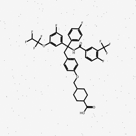 O=C(NC(Cc1ccc(OCC2CCC(C(=O)O)CC2)cc1)(c1ccc(F)cc1)c1cc(F)cc(OC(F)(F)C(F)F)c1)c1ccc(F)c(C(F)(F)F)c1